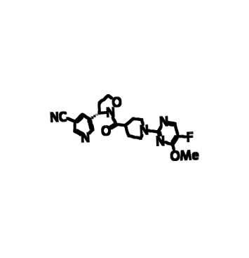 COc1nc(N2CCC(C(=O)N3OCC[C@H]3c3cncc(C#N)c3)CC2)ncc1F